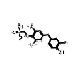 Cc1cc(Cc2ccc(O)c(C(C)C)c2)cc(C)c1OCP(=O)(O)O